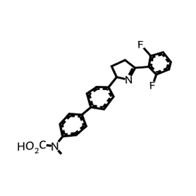 CN(C(=O)O)c1ccc(-c2ccc(C3CCC(c4c(F)cccc4F)=N3)cc2)cc1